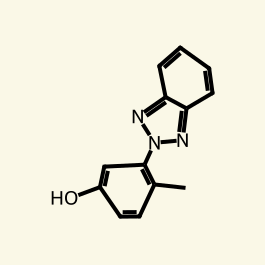 Cc1ccc(O)cc1-n1nc2ccccc2n1